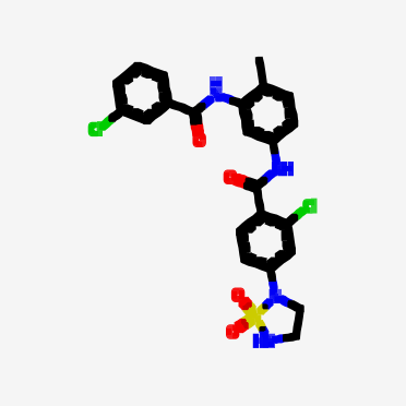 Cc1ccc(NC(=O)c2ccc(N3CCNS3(=O)=O)cc2Cl)cc1NC(=O)c1cccc(Cl)c1